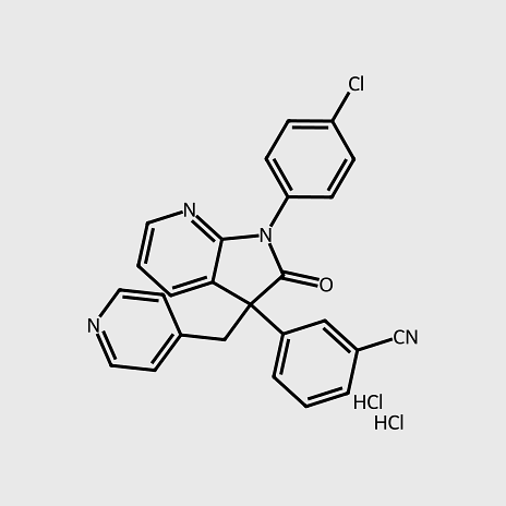 Cl.Cl.N#Cc1cccc(C2(Cc3ccncc3)C(=O)N(c3ccc(Cl)cc3)c3ncccc32)c1